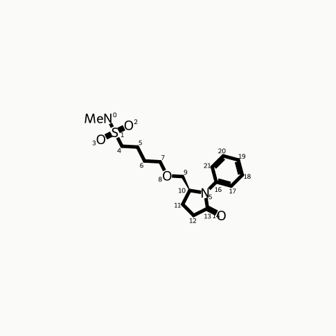 CNS(=O)(=O)CCCCOC[C@@H]1CCC(=O)N1c1ccccc1